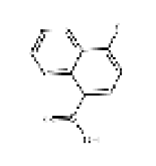 O=S(O)c1ccc(Cl)c2ccccc12